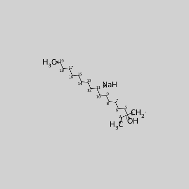 [CH2]C(O)(CC)CCCCCCCCCCCCCCCC.[NaH]